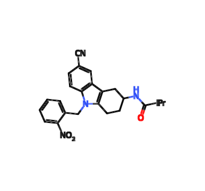 CC(C)C(=O)NC1CCc2c(c3cc(C#N)ccc3n2Cc2ccccc2[N+](=O)[O-])C1